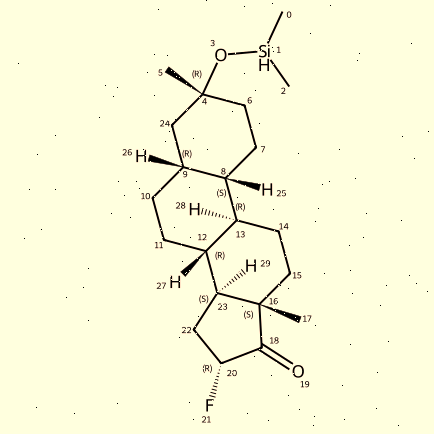 C[SiH](C)O[C@]1(C)CC[C@H]2[C@H](CC[C@@H]3[C@@H]2CC[C@]2(C)C(=O)[C@H](F)C[C@@H]32)C1